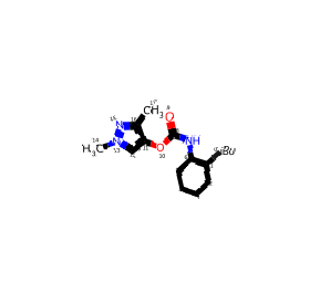 CCC(C)C1CCCCC1NC(=O)Oc1cn(C)nc1C